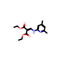 CCOC(=O)C(=CNc1cc(C)cc(C)n1)C(=O)OCC